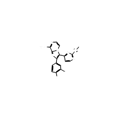 COc1nccn2c(-c3ccnc(S(C)(=O)=O)n3)c(-c3ccc(F)c(F)c3)nc12